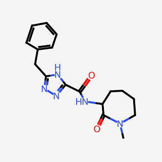 CN1CCCCC(NC(=O)c2nnc(Cc3ccccc3)[nH]2)C1=O